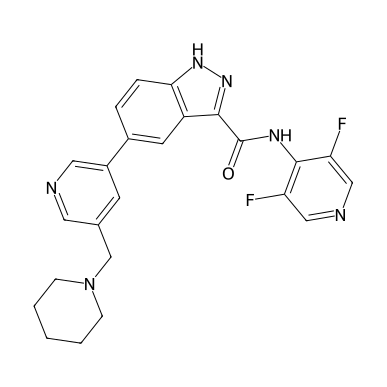 O=C(Nc1c(F)cncc1F)c1n[nH]c2ccc(-c3cncc(CN4CCCCC4)c3)cc12